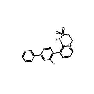 O=S1(=O)CC[n+]2cccc(-c3ccc(-c4ccccc4)cc3F)c2N1